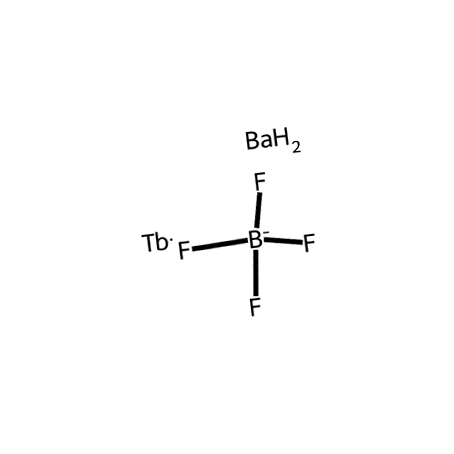 F[B-](F)(F)F.[BaH2].[Tb]